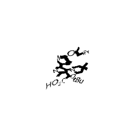 Cc1ncc(-c2ccc(OC(C)CC(C)C)nc2)c(N2CCC(C)(C)CC2)c1C(OC(C)(C)C)C(=O)O